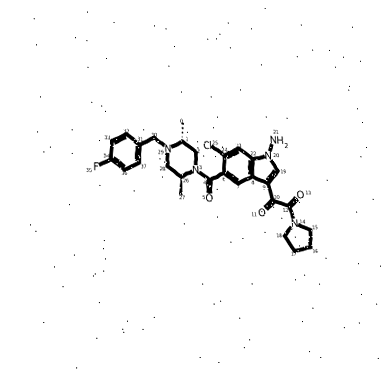 C[C@@H]1CN(C(=O)c2cc3c(C(=O)C(=O)N4CCCC4)cn(N)c3cc2Cl)[C@@H](C)CN1Cc1ccc(F)cc1